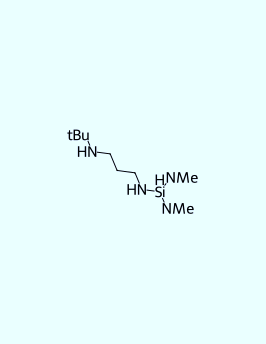 CN[SiH](NC)NCCCNC(C)(C)C